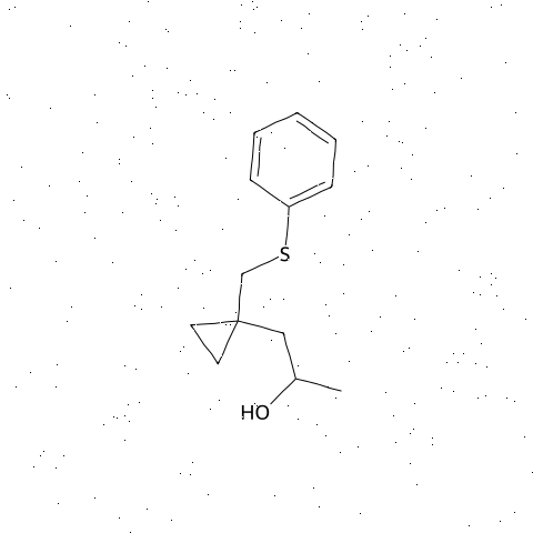 CC(O)CC1(CSc2ccccc2)CC1